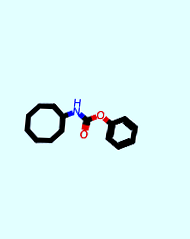 O=C(NC1CCCCCCC1)Oc1ccccc1